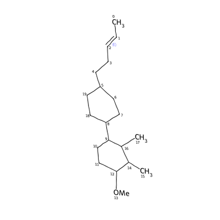 C/C=C/CCC1CCC(C2CCC(OC)C(C)C2C)CC1